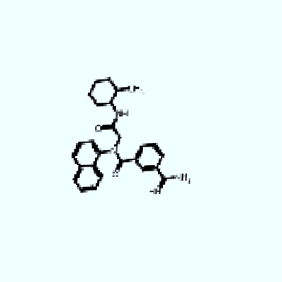 CC1CCCCC1NC(=O)CN(C(=O)c1cccc(C(=N)N)c1)c1cccc2ccccc12